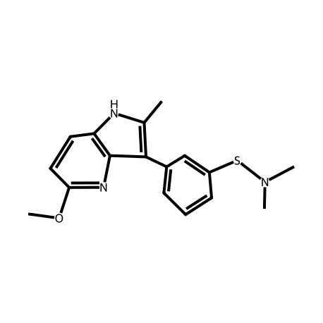 COc1ccc2[nH]c(C)c(-c3cccc(SN(C)C)c3)c2n1